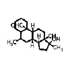 CC1C[C@@H]2[C@@H](CC[C@@]3(C)[C@H]2CCC3(C)O)[C@@]2(C=O)CCCCC12